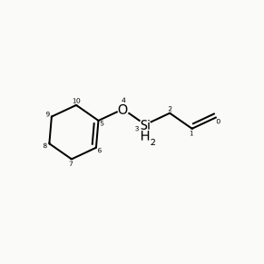 C=CC[SiH2]OC1=CCCCC1